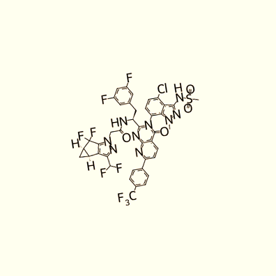 Cn1nc(NS(C)(=O)=O)c2c(Cl)ccc(-n3c([C@H](Cc4cc(F)cc(F)c4)NC(=O)Cn4nc(C(F)F)c5c4C(F)(F)[C@@H]4C[C@H]54)nc4nc(-c5ccc(C(F)(F)F)cc5)ccc4c3=O)c21